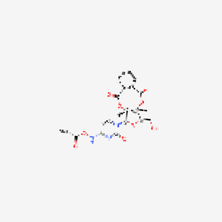 COC(=O)ONc1ccn([C@@H]2O[C@H](CO)[C@H]3OC(=O)c4ccccc4C(=O)O[C@H]32)c(=O)n1